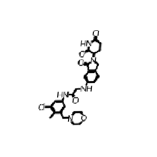 Cc1c(Cl)cc(NC(=O)CNc2ccc3c(c2)C(=O)N(C2CCC(=O)NC2=O)C3)cc1CN1CCOCC1